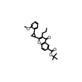 CCCc1c(C2CC2c2ccccc2OC)oc2ccc(C(=O)OC(C)(C)C)cc2c1=O